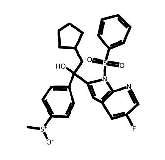 C[S+]([O-])c1ccc(C(O)(CC2CCCC2)c2cc3cc(F)cnc3n2S(=O)(=O)c2ccccc2)cc1